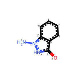 Nn1[nH]c(=O)c2ccccc21